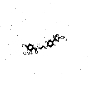 COc1cc(Cl)ccc1C(=O)NCCOc1ccc(-c2noc(C(F)(F)F)n2)cc1